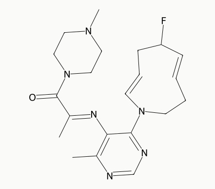 C/C(=N\c1c(C)ncnc1N1/C=C/CC(F)/C=C/CC1)C(=O)N1CCN(C)CC1